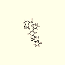 Nc1cccc(Nc2cc(-c3cccc(NC(=O)c4ccccn4)c3)ccn2)c1